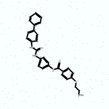 CCCCCCCCCCCCSc1ccc(C(=O)Sc2ccc(NC(=O)Nc3ccc(-c4ccccc4)cc3)cc2)cc1